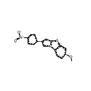 COc1ccc2c(c1)sc1cc(-c3ccc([N+](=O)[O-])cc3)cn12